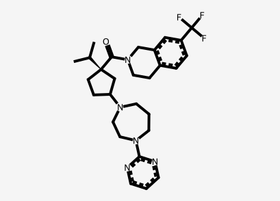 CC(C)[C@]1(C(=O)N2CCc3ccc(C(F)(F)F)cc3C2)CCC(N2CCCN(c3ncccn3)CC2)C1